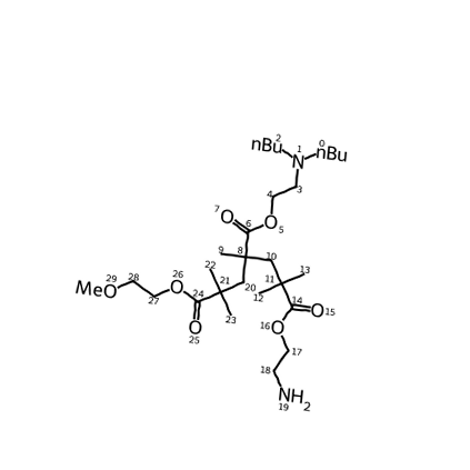 CCCCN(CCCC)CCOC(=O)C(C)(CC(C)(C)C(=O)OCCN)CC(C)(C)C(=O)OCCOC